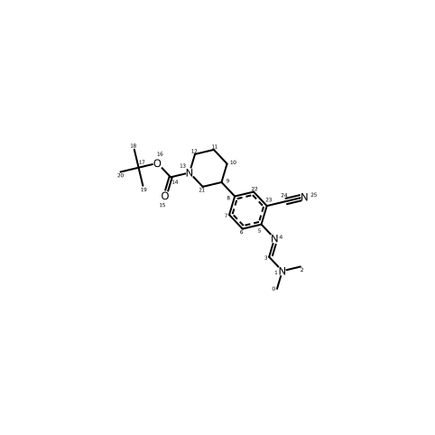 CN(C)C=Nc1ccc(C2CCCN(C(=O)OC(C)(C)C)C2)cc1C#N